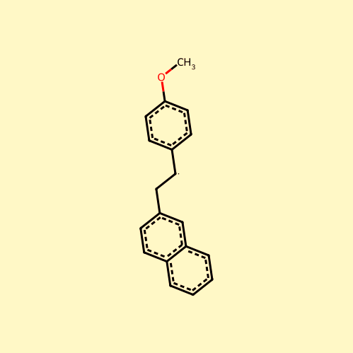 COc1ccc([CH]Cc2ccc3ccccc3c2)cc1